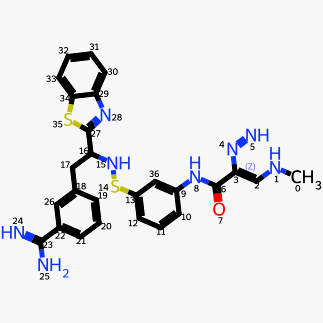 CN/C=C(\N=N)C(=O)Nc1cccc(SNC(Cc2cccc(C(=N)N)c2)c2nc3ccccc3s2)c1